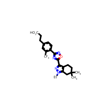 CCn1nc(-c2nc(-c3ccc(CCC(=O)O)cc3C(F)(F)F)no2)c2c1CC(C)(C)CC2